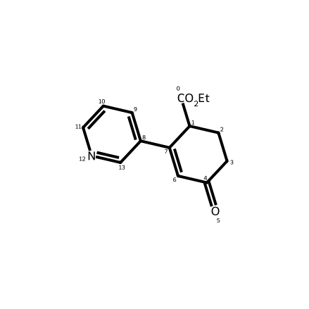 CCOC(=O)C1CCC(=O)C=C1c1cccnc1